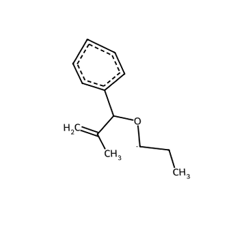 C=C(C)C(O[CH]CC)c1ccccc1